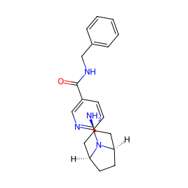 N[C@H]1C[C@H]2CC[C@@H](C1)N2c1ccc(C(=O)NCc2ccccc2)cn1